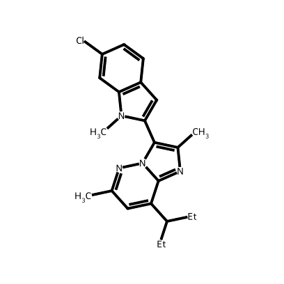 CCC(CC)c1cc(C)nn2c(-c3cc4ccc(Cl)cc4n3C)c(C)nc12